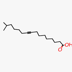 CC(C)CCCCC#CCCCCCCCC(=O)O